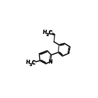 C=CCc1ccccc1-c1ccc(C)cn1